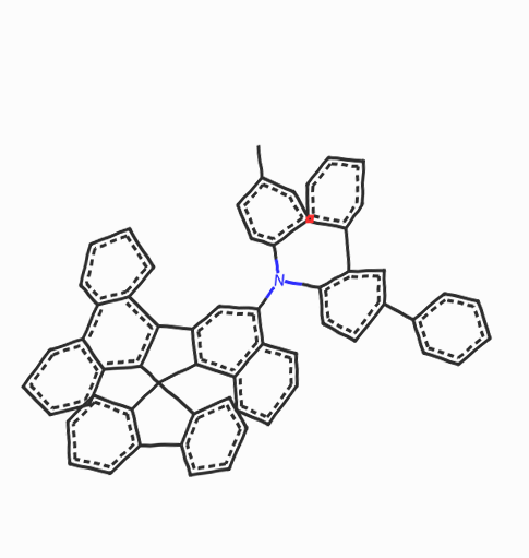 Cc1ccc(N(c2ccc(-c3ccccc3)cc2-c2ccccc2)c2cc3c(c4ccccc24)C2(c4ccccc4-c4ccccc42)c2c-3c3ccccc3c3ccccc23)cc1